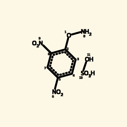 NOc1ccc([N+](=O)[O-])cc1[N+](=O)[O-].O=S(=O)(O)O